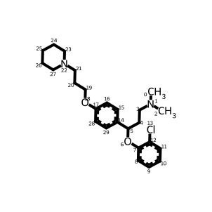 CN(C)CCC(Oc1ccccc1Cl)c1ccc(OCCCN2CCCCC2)cc1